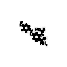 COc1ccc(COc2ccc(C(N)=O)c(CC(C)O)c2)cc1